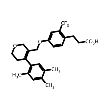 Cc1cc(C)c(C2=C(COc3ccc(CCC(=O)O)c(C(F)(F)F)c3)COCC2)cc1C